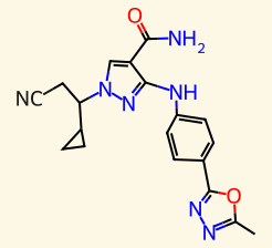 Cc1nnc(-c2ccc(Nc3nn(C(CC#N)C4CC4)cc3C(N)=O)cc2)o1